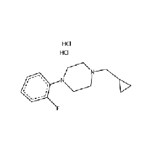 Cl.Cl.Fc1ccccc1N1CCN(CC2CC2)CC1